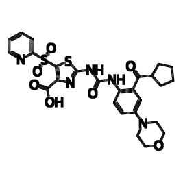 O=C(Nc1nc(C(=O)O)c(S(=O)(=O)c2ccccn2)s1)Nc1ccc(N2CCOCC2)cc1C(=O)C1CCCC1